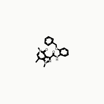 Cc1cn(C)c(=O)c2c(C(=O)Nc3ccccc3OCc3ccccc3)nn(C)c12